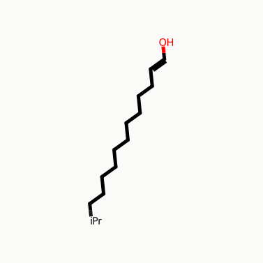 CC(C)CCCCCCCCCCC=CO